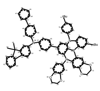 CC(C)(C)c1ccc(N2c3ccc(C(C)(C)C)cc3B3c4cc5c(cc4N(c4ccc6c(c4)OCCO6)c4cc(-c6ccc(N(c7ccc(-c8ccccc8)cc7)c7ccc8c(c7)C(C)(C)c7ccccc7-8)cc6)cc2c43)OCCO5)cc1